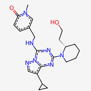 Cn1cc(CNc2nc(N3CCCC[C@H]3CCO)nc3c(C4CC4)cnn23)ccc1=O